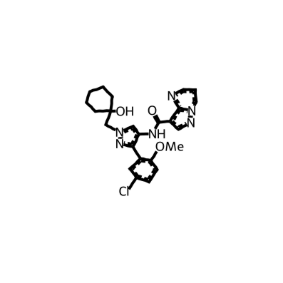 COc1ccc(Cl)cc1-c1nn(CC2(O)CCCCC2)cc1NC(=O)c1cnn2cccnc12